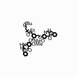 CCN(C(=O)C(C)(C)CCOC(C)(C)C)c1cc(COc2cc3c(cc2OC)C(=O)N2c4ccccc4C[C@H]2C=N3)cc(COc2cc3c(cc2OC)C(=O)N2c4ccccc4C[C@H]2CN3)c1